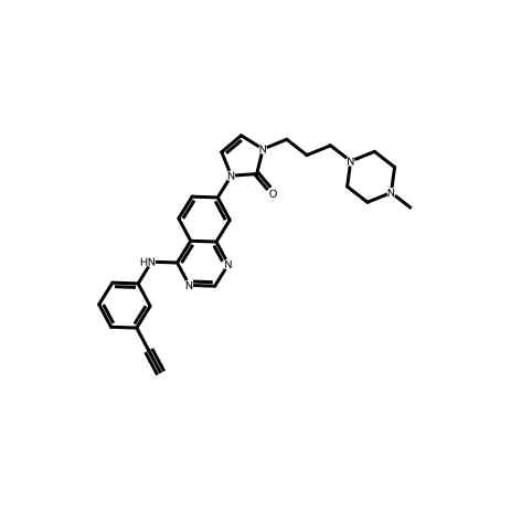 C#Cc1cccc(Nc2ncnc3cc(-n4ccn(CCCN5CCN(C)CC5)c4=O)ccc23)c1